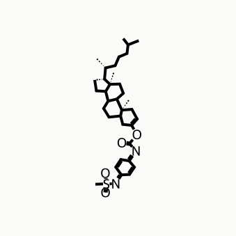 CC(C)CCC[C@@H](C)[C@H]1CCC2C3CCC4CC(OC(=O)N=C5C=CC(=NS(C)(=O)=O)C=C5)=CC[C@]4(C)C3CC[C@@]21C